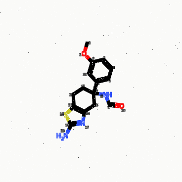 COc1cccc(C2(NC=O)CCc3sc(N)nc3C2)c1